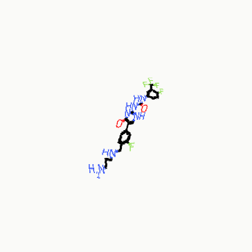 NCCCNCc1ccc(-c2c[nH]c(NC(=O)Nc3ccc(F)c(C(F)(F)F)c3)nc2=O)cc1F